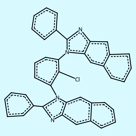 Clc1c(-n2c(-c3ccccc3)nc3cc4ccccc4cc32)cccc1-n1c(-c2ccccc2)nc2cc3ccccc3cc21